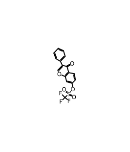 O=c1c(-c2ccccc2)coc2cc(OS(=O)(=O)C(F)(F)F)ccc12